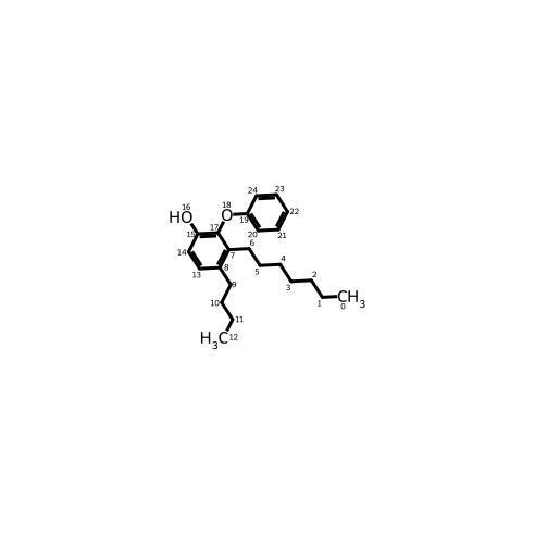 CCCCCCCc1c(CCCC)ccc(O)c1Oc1ccccc1